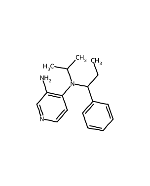 CCC(c1ccccc1)N(c1ccncc1N)C(C)C